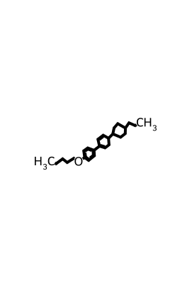 CCCCCOc1ccc(C2=CCC(C3CCC(CCC)CC3)C=C2)cc1